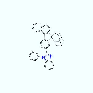 c1ccc(-n2c(-c3ccc4c(c3)C3(c5ccc6ccccc6c5-4)C4CC5CC(C4)CC3C5)nc3ccccc32)cc1